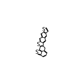 c1cc2c3c(scc3c1)-c1sc3cc4cc5sccc5cc4cc3c1C2